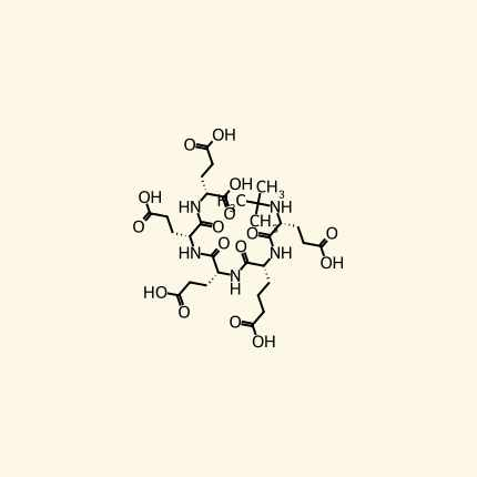 CC(C)(C)N[C@H](CCC(=O)O)C(=O)N[C@H](CCCC(=O)O)C(=O)N[C@H](CCC(=O)O)C(=O)N[C@H](CCC(=O)O)C(=O)N[C@H](CCC(=O)O)C(=O)O